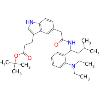 CCN(CC)c1ccccc1C(CC(C)C)NC(=O)Cc1ccc2[nH]cc(CCC(=O)OC(C)(C)C)c2c1